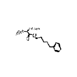 CCCCCCCCC(CCCCCC)C(=O)OCCCCCc1ccccc1